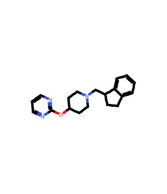 c1cnc(OC2CCN(CC3CCc4ccccc43)CC2)nc1